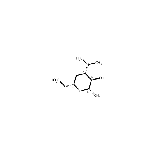 C[C@@H]1O[C@H](CC(=O)O)C[C@H](N(C)C)[C@H]1O